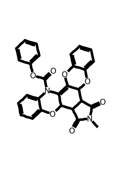 CN1C(=O)C2C3Oc4ccccc4OC3=C3C(Oc4ccccc4N3C(=O)Oc3ccccc3)C2C1=O